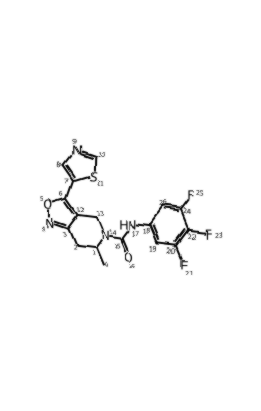 CC1Cc2noc(-c3cncs3)c2CN1C(=O)Nc1cc(F)c(F)c(F)c1